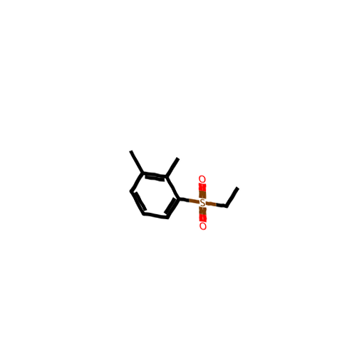 CCS(=O)(=O)c1cccc(C)c1C